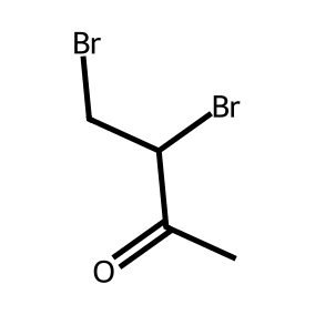 CC(=O)C(Br)CBr